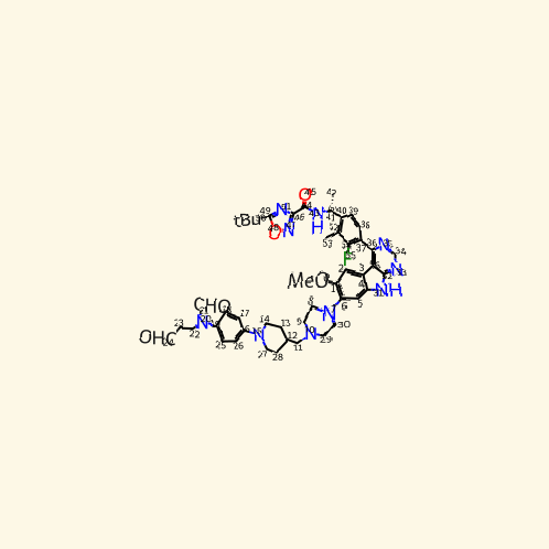 COc1cc2c(cc1N1CCN(CC3CCN(c4ccc(N(C=O)CCC=O)cc4)CC3)CC1)[nH]c1ncnc(-c3ccc([C@@H](C)NC(=O)c4noc(C(C)(C)C)n4)c(C)c3F)c12